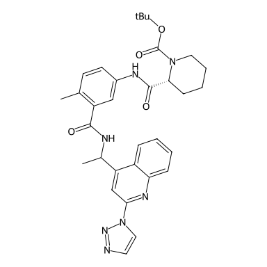 Cc1ccc(NC(=O)[C@H]2CCCCN2C(=O)OC(C)(C)C)cc1C(=O)NC(C)c1cc(-n2ccnn2)nc2ccccc12